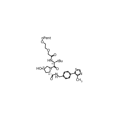 CCCCCOCCOCC(=O)N[C@H](C(=O)N1C[C@H](O)C[C@H]1C(=O)NCc1ccc(-c2scnc2C)cc1)C(C)(C)C